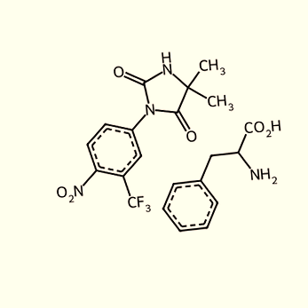 CC1(C)NC(=O)N(c2ccc([N+](=O)[O-])c(C(F)(F)F)c2)C1=O.NC(Cc1ccccc1)C(=O)O